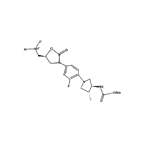 COC(=O)N[C@@H]1CN(c2ccc(N3C[C@@H](C[NH+]([O-])C(C)=O)OC3=O)cc2F)C[C@H]1C